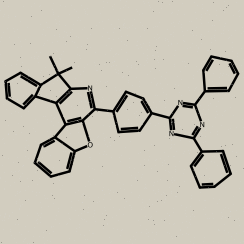 CC1(C)c2ccccc2-c2c1nc(-c1ccc(-c3nc(-c4ccccc4)nc(-c4ccccc4)n3)cc1)c1oc3ccccc3c21